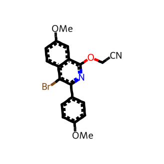 COc1ccc(-c2nc(OCC#N)c3cc(OC)ccc3c2Br)cc1